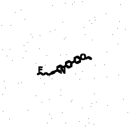 C=CCOc1ccc(-c2ccc(-c3ccc(C#CCCCC(C)F)cn3)cc2)cc1